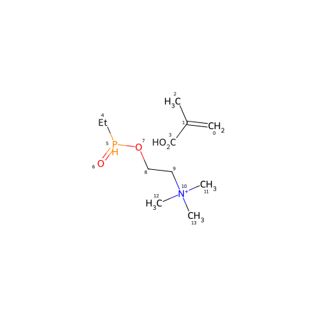 C=C(C)C(=O)O.CC[PH](=O)OCC[N+](C)(C)C